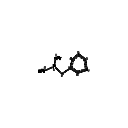 CCCP([CH]c1ccccc1)CCC